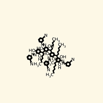 CCCCCCC(C)c1cc(C(CCCCCC)c2cc(C(CCCCCC)c3cc(C(CCCCCC)c4ccc(O)c(N=Nc5cccc(C#N)c5)c4O)c(O)c(N=Nc4cccc(C#N)c4)c3O)c(O)c(N=Nc3cccc(C#N)c3)c2O)c(O)c(N=Nc2cccc(C#N)c2)c1O